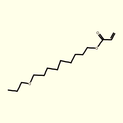 C=CC(=O)OCCCCCCCCCOCCC